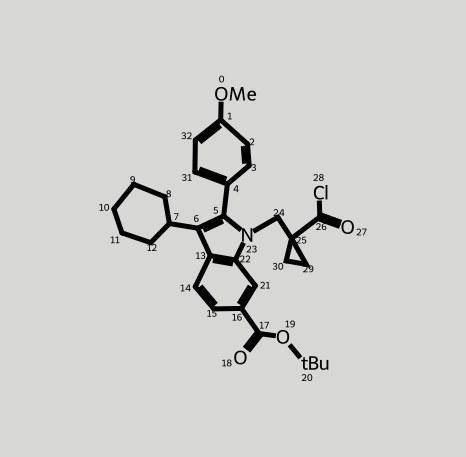 COc1ccc(-c2c(C3CCCCC3)c3ccc(C(=O)OC(C)(C)C)cc3n2CC2(C(=O)Cl)CC2)cc1